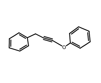 C(#COc1ccccc1)Cc1ccccc1